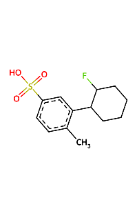 Cc1ccc(S(=O)(=O)O)cc1C1CCCCC1F